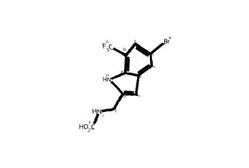 O=C(O)NCc1cc2cc(Br)cc(C(F)(F)F)c2[nH]1